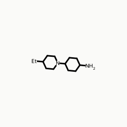 CCC1CCN(C2CCC(N)CC2)CC1